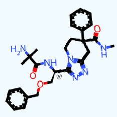 CNC(=O)C1(c2ccccc2)CCn2c(nnc2[C@@H](COCc2ccccc2)NC(=O)C(C)(C)N)C1